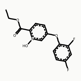 CCOC(=O)c1ccc(Oc2ccc(F)cc2F)c[n+]1O